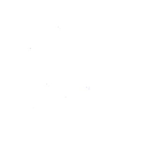 CCN(Cc1nc(NCCc2ccccc2Cl)c2ccc(-c3ncccc3C(F)(F)F)cc2n1)C(C)C